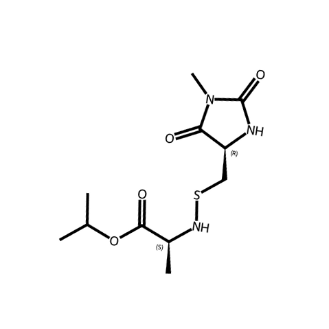 CC(C)OC(=O)[C@H](C)NSC[C@@H]1NC(=O)N(C)C1=O